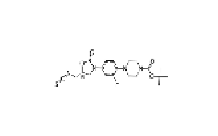 CC(C)(C)OC(=O)N1CCN(c2ccc(N3C[C@H](CN=C=S)OC3=O)cc2F)CC1